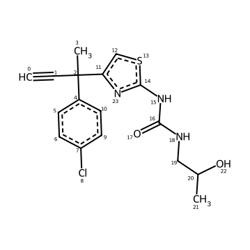 C#CC(C)(c1ccc(Cl)cc1)c1csc(NC(=O)NCC(C)O)n1